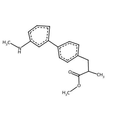 CNc1cccc(-c2ccc(CC(C)C(=O)OC)cc2)c1